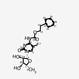 C[C@H]1O[C@@H](n2cc(F)c(NC(=O)OCCc3ccccc3)nc2=O)[C@H](O)[C@@H]1O